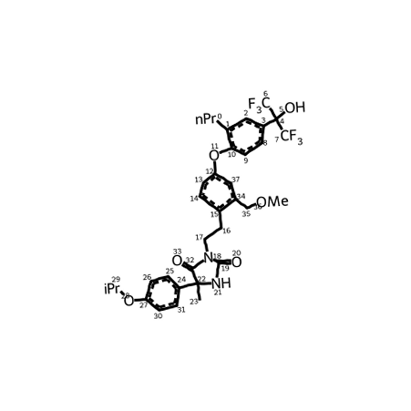 CCCc1cc(C(O)(C(F)(F)F)C(F)(F)F)ccc1Oc1ccc(CCN2C(=O)NC(C)(c3ccc(OC(C)C)cc3)C2=O)c(COC)c1